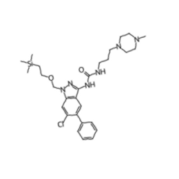 CN1CCN(CCCNC(=O)Nc2nn(COCC[Si](C)(C)C)c3cc(Cl)c(-c4ccccc4)cc23)CC1